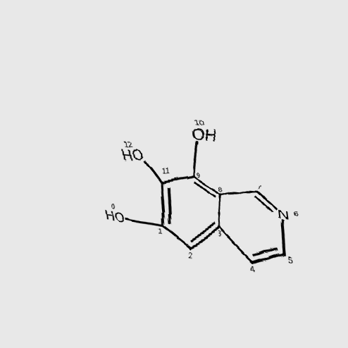 Oc1cc2ccncc2c(O)c1O